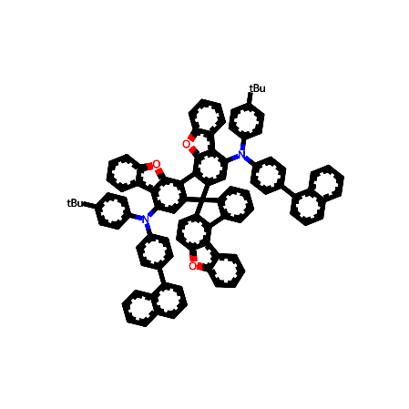 CC(C)(C)c1ccc(N(c2ccc(-c3cccc4ccccc34)cc2)c2cc3c(c4oc5ccccc5c24)-c2c(cc(N(c4ccc(-c5cccc6ccccc56)cc4)c4ccc(C(C)(C)C)cc4)c4c2oc2ccccc24)C32c3ccccc3-c3c2ccc2oc4ccccc4c32)cc1